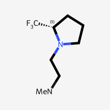 CNCCN1CCC[C@H]1C(F)(F)F